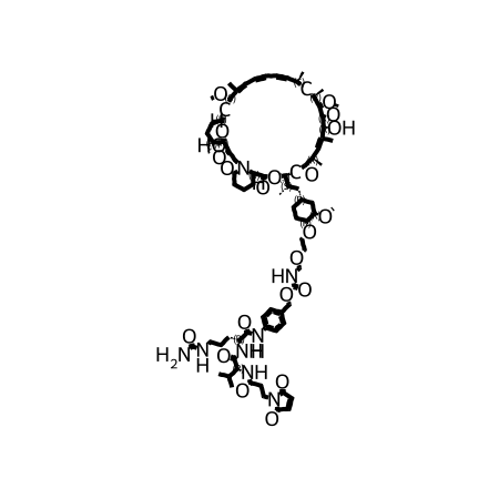 CO[C@H]1C[C@@H]2CC[C@@H](C)[C@@](O)(O2)C(=O)C(=O)N2CCCC[C@H]2C(=O)O[C@H]([C@@H](C)C[C@H]2CC[C@@H](OCCOCNC(=O)OCc3ccc(NC(=O)[C@@H](CCCNC(N)=O)NC(=O)[C@H](NC(=O)CCN4C(=O)C=CC4=O)C(C)C)cc3)[C@H](OC)C2)CC(=O)[C@H](C)C=C(C)[C@@H](O)[C@@H](OC)C(=O)[C@H](C)C[C@H](C)C=CC=CC=C1C